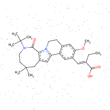 CC/C(=C\c1cc2c(cc1OC)CCn1c-2cc2c1C(=O)N(C(C)(C)C)CCC(C)(C)C2)C(=O)O